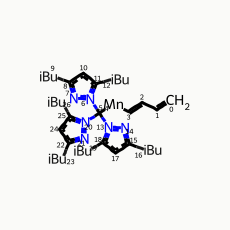 C=CC=[CH][Mn][C](n1nc(C(C)CC)cc1C(C)CC)(n1nc(C(C)CC)cc1C(C)CC)n1nc(C(C)CC)cc1C(C)CC